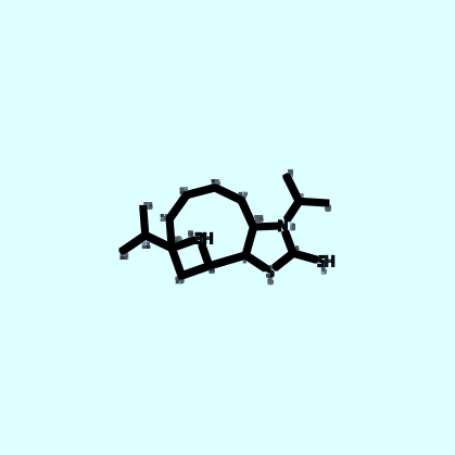 CC(C)N1C(S)SC2C3BC(C(C)C)(CCCCC21)C3